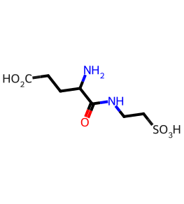 NC(CCC(=O)O)C(=O)NCCS(=O)(=O)O